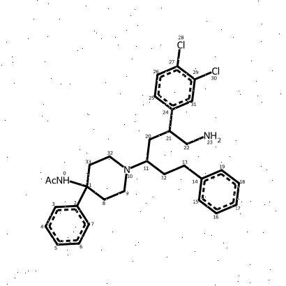 CC(=O)NC1(c2ccccc2)CCN(C(CCc2ccccc2)CC(CN)c2ccc(Cl)c(Cl)c2)CC1